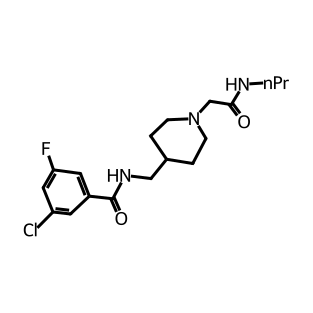 CCCNC(=O)CN1CCC(CNC(=O)c2cc(F)cc(Cl)c2)CC1